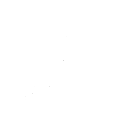 Cc1ccc([N+](=O)[O-])c(OCCCN2CCC(OC(c3ccccc3)c3ccccc3)CC2)c1